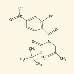 C=C(C)CN(C(=O)OC(C)(C)C)C(=O)c1ccc([N+](=O)[O-])cc1Br